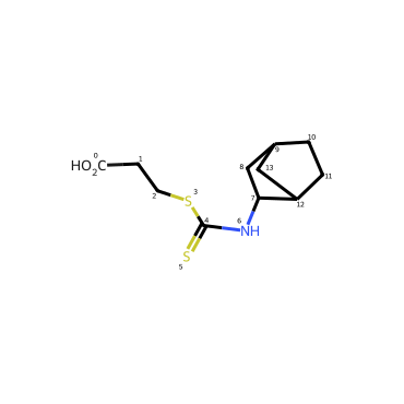 O=C(O)CCSC(=S)NC1CC2CCC1C2